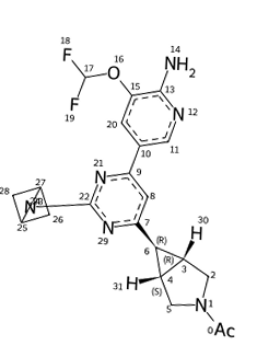 CC(=O)N1C[C@@H]2[C@H](C1)[C@H]2c1cc(-c2cnc(N)c(OC(F)F)c2)nc(N2CC3CC2C3)n1